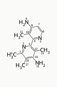 Cc1nc(-c2nccc(N)c2C)c(C)c(N)c1C